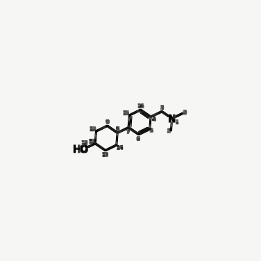 CN(C)Cc1ccc(C2CCC(O)CC2)cc1